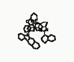 CC1C/C=C(c2ccc(-c3ccccc3)cc2)/N=C(c2cccc3ccccc23)\N=C/1c1cc(-n2c3ccccc3c3cc4ccccc4cc32)cc2oc3ccccc3c12